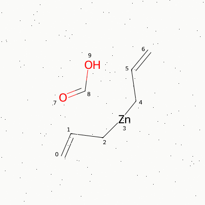 C=C[CH2][Zn][CH2]C=C.O=CO